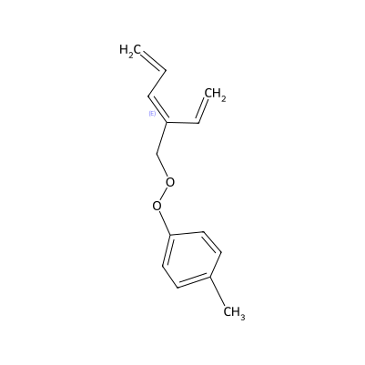 C=C/C=C(\C=C)COOc1ccc(C)cc1